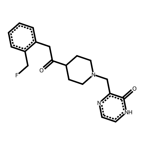 O=C(Cc1ccccc1CF)C1CCN(Cc2ncc[nH]c2=O)CC1